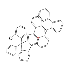 c1ccc(-c2ccccc2N(c2ccccc2)c2ccccc2-c2ccc3c(c2)C2(c4ccccc4Oc4ccccc42)c2ccccc2-3)cc1